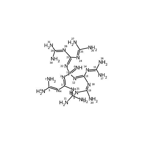 N=P(N=C(N=C(N)N)N=C(N)N)(N=C(N=C(N)N)N=C(N)N)N=C(N=C(N)N)N=C(N)N